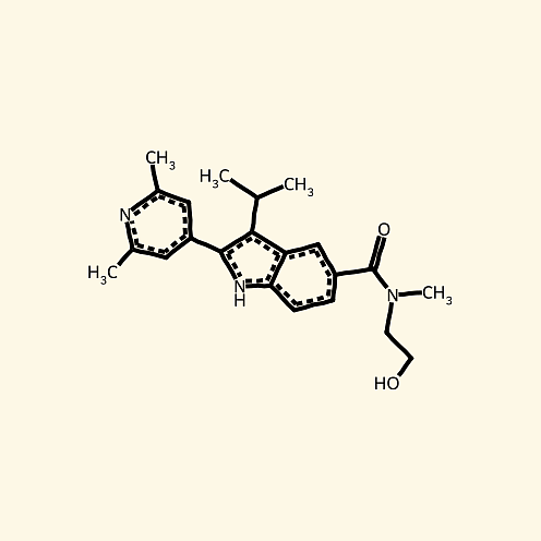 Cc1cc(-c2[nH]c3ccc(C(=O)N(C)CCO)cc3c2C(C)C)cc(C)n1